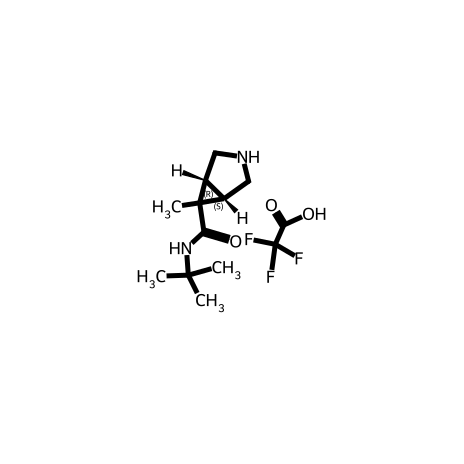 CC(C)(C)NC(=O)C1(C)[C@@H]2CNC[C@@H]21.O=C(O)C(F)(F)F